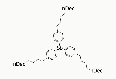 CCCCCCCCCCCCCCc1cc[c]([Sb]([c]2ccc(CCCCCCCCCCCCCC)cc2)[c]2ccc(CCCCCCCCCCCCCC)cc2)cc1